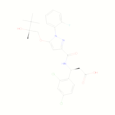 CC(C)(C)[C@@](C)(O)COc1cc(C(=O)N[C@@H](CC(=O)O)c2ccc(Cl)cc2Cl)nn1-c1ccccc1F